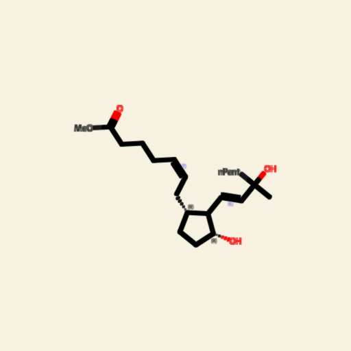 CCCCCC(C)(O)/C=C/C1[C@@H](C/C=C\CCCC(=O)OC)CC[C@H]1O